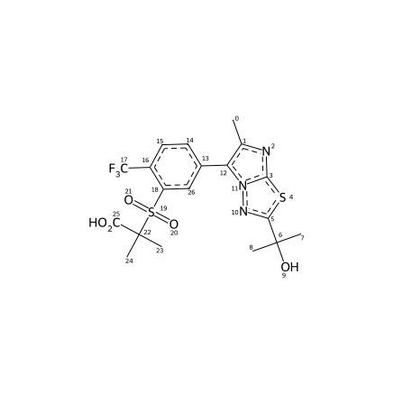 Cc1nc2sc(C(C)(C)O)nn2c1-c1ccc(C(F)(F)F)c(S(=O)(=O)C(C)(C)C(=O)O)c1